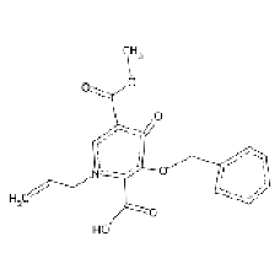 C=CCn1cc(C(=O)OC)c(=O)c(OCc2ccccc2)c1C(=O)O